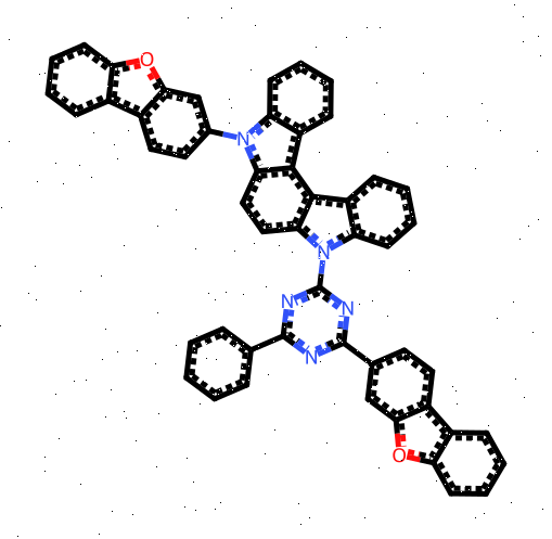 c1ccc(-c2nc(-c3ccc4c(c3)oc3ccccc34)nc(-n3c4ccccc4c4c5c6ccccc6n(-c6ccc7c(c6)oc6ccccc67)c5ccc43)n2)cc1